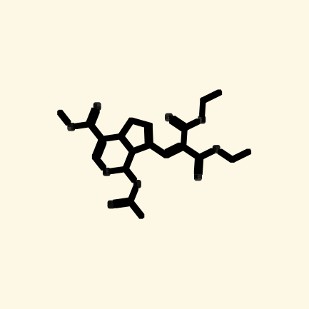 CCOC(=O)C(=CC1=CCC2C(C(=O)OC)=COC(OC(C)=O)C12)C(=O)OCC